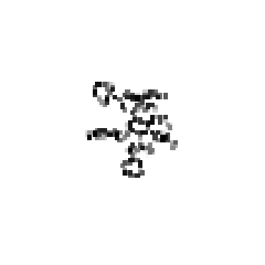 CCCCOc1cc(C(CCC2OCCCO2)N[S@@+]([O-])C(C)(C)C)c(C(F)(F)F)c(C)c1C(=O)Oc1ccccc1